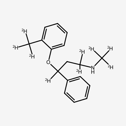 [2H]C([2H])([2H])NC([2H])([2H])CC([2H])(Oc1ccccc1C([2H])([2H])[2H])c1ccccc1